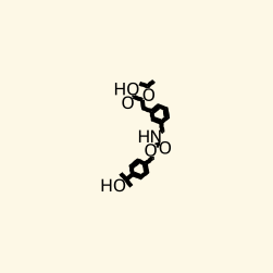 CC(C)OC(Cc1cccc(CNC(=O)OCc2ccc(C(C)(C)O)cc2)c1)C(=O)O